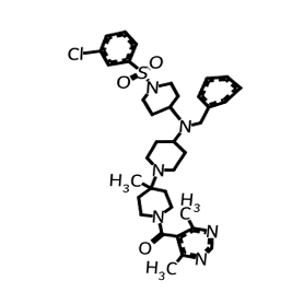 Cc1ncnc(C)c1C(=O)N1CCC(C)(N2CCC(N(Cc3ccccc3)C3CCN(S(=O)(=O)c4cccc(Cl)c4)CC3)CC2)CC1